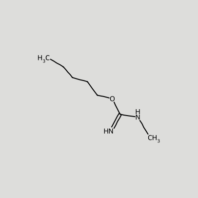 CCCCCOC(=N)NC